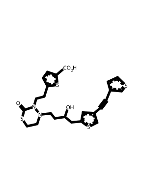 O=C(O)c1ccc(CCN2C(=O)SCCN2CCC(O)Cc2cc(C#Cc3ccsc3)cs2)s1